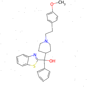 COc1ccc(CCN2CCC(C(O)(c3ccccc3)c3nc4ccccc4s3)CC2)cc1